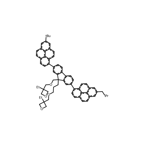 CCC1(COCCCC2(COCC3(CC)COC3)c3cc(-c4ccc5ccc6cc(CC(C)C)cc7ccc4c5c67)ccc3-c3ccc(-c4ccc5ccc6cc(C(C)(C)C)cc7ccc4c5c67)cc32)COC1